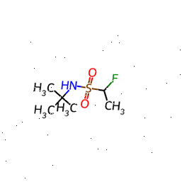 CC(F)S(=O)(=O)NC(C)(C)C